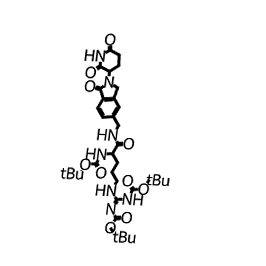 CC(C)(C)OC(=O)/N=C(/NCCCC(NC(=O)OC(C)(C)C)C(=O)NCc1ccc2c(c1)CN(C1CCC(=O)NC1=O)C2=O)NC(=O)OC(C)(C)C